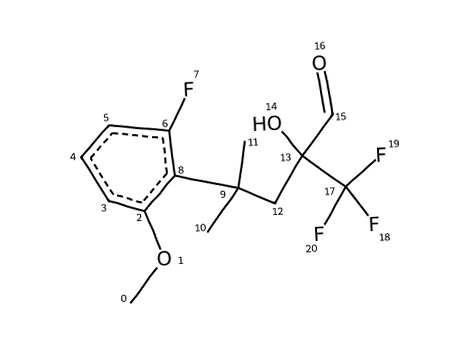 COc1cccc(F)c1C(C)(C)CC(O)(C=O)C(F)(F)F